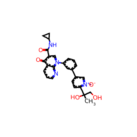 CC(O)(CO)c1ccc(-c2cccc(-n3cc(C(=O)NC4CC4)c(=O)c4cccnc43)c2)c[n+]1[O-]